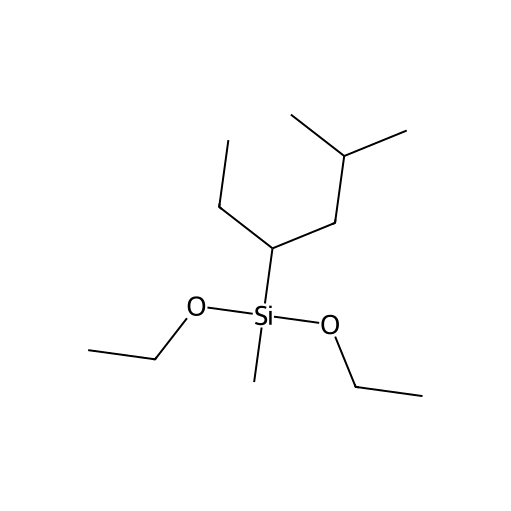 CCO[Si](C)(OCC)C(CC)CC(C)C